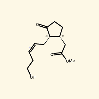 COC(=O)C[C@H]1CCC(=O)[C@H]1C/C=C\CCO